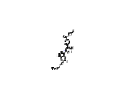 COCCOc1cc2[nH]nc(/C(O)=C/C(=N)c3ccc(C(=O)N4CC(F)C4)cc3)c2cc1F